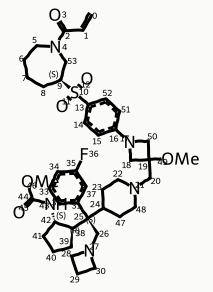 C=CC(=O)N1CCCC[C@H](S(=O)(=O)c2ccc(N3CC(CN4CCC([C@@](CN5CCC5)(c5cccc(F)c5)[C@H]5CCC[C@@H]5NC(=O)OC)CC4)(OC)C3)cc2)C1